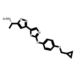 CC(=O)N[C@@H](C)c1cc(-c2cnc(Oc3ccc(OCC4CC4)cc3)s2)no1